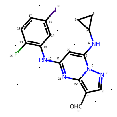 O=Cc1cnn2c(NC3CC3)cc(Nc3cc(I)ccc3F)nc12